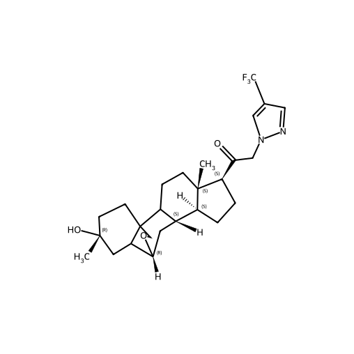 C[C@@]1(O)CCC23CO[C@H](C[C@@H]4C2CC[C@]2(C)[C@@H](C(=O)Cn5cc(C(F)(F)F)cn5)CC[C@@H]42)C3C1